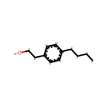 CCCCc1ccc(CC[O])cc1